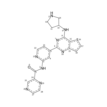 O=C(Nc1cc(-c2nc(NC3CCNC3)c3sccc3n2)ccn1)c1cnccn1